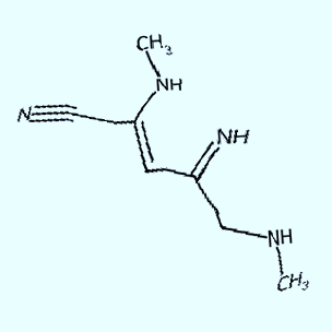 CNCC(=N)/C=C(/C#N)NC